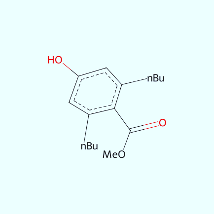 CCCCc1cc(O)cc(CCCC)c1C(=O)OC